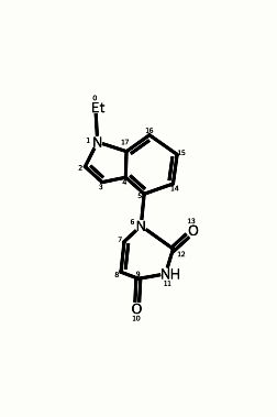 CCn1ccc2c(-n3ccc(=O)[nH]c3=O)cccc21